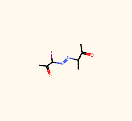 CC(=O)C(C)N=NC(I)C(C)=O